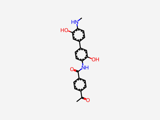 CNc1ccc(-c2ccc(NC(=O)c3ccc(C(C)=O)cc3)c(O)c2)cc1O